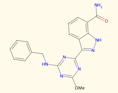 COc1nc(NCc2ccccc2)nc(-c2n[nH]c3c(C(N)=O)cccc23)n1